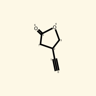 C#CC1COC(=O)C1